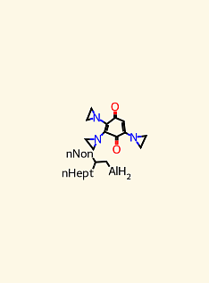 CCCCCCCCCC([CH2][AlH2])CCCCCCC.O=C1C=C(N2CC2)C(=O)C(N2CC2)=C1N1CC1